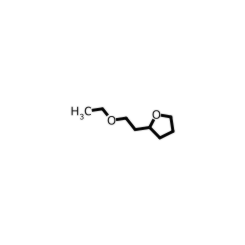 CCOCCC1CCCO1